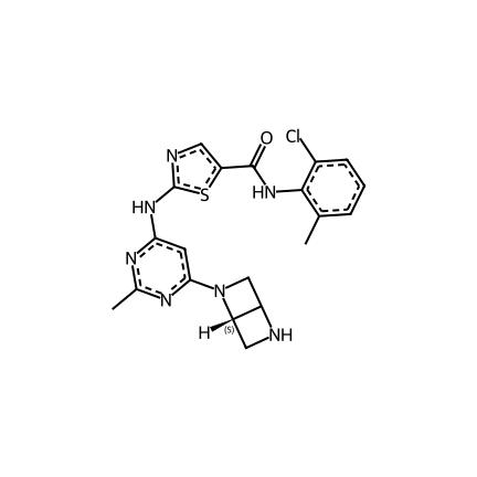 Cc1nc(Nc2ncc(C(=O)Nc3c(C)cccc3Cl)s2)cc(N2CC3NC[C@@H]32)n1